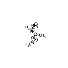 COc1cc(C(=O)N2CCC[C@@H]2c2nc(C)cs2)cc(-c2nnc([C@](C)(N)Cc3ccccc3)o2)c1